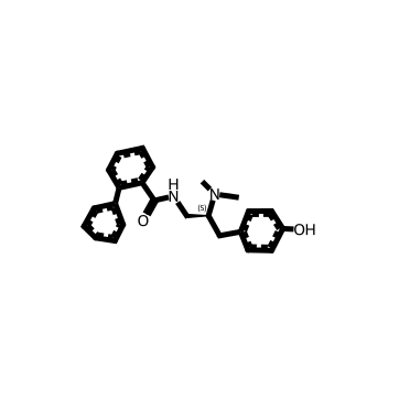 CN(C)[C@H](CNC(=O)c1ccccc1-c1ccccc1)Cc1ccc(O)cc1